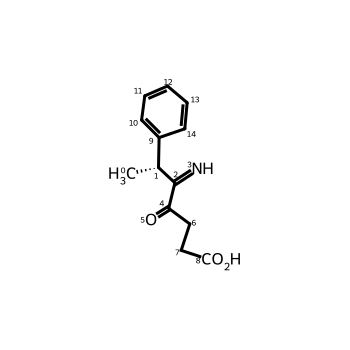 C[C@@H](C(=N)C(=O)CCC(=O)O)c1ccccc1